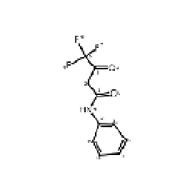 O=C(CC(=O)C(F)(F)F)Nc1ccccc1